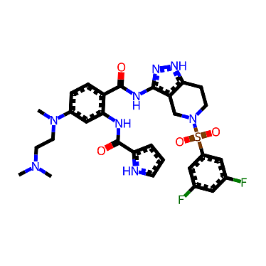 CN(C)CCN(C)c1ccc(C(=O)Nc2n[nH]c3c2CN(S(=O)(=O)c2cc(F)cc(F)c2)CC3)c(NC(=O)c2ccc[nH]2)c1